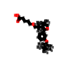 CC(C)(COCCCCC(=O)O)C1=C(c2cccc(O[Si](C)(C)C(C)(C)C)c2)OCC1(C)C